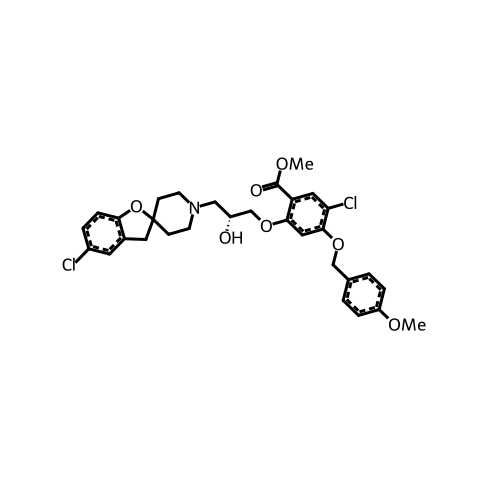 COC(=O)c1cc(Cl)c(OCc2ccc(OC)cc2)cc1OC[C@H](O)CN1CCC2(CC1)Cc1cc(Cl)ccc1O2